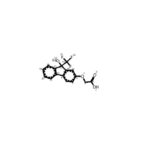 O=C(O)COc1ccc2c(c1)C(O)(C(F)(F)F)c1ccccc1-2